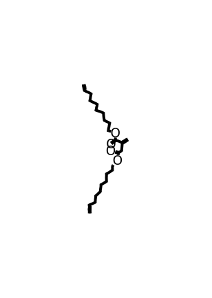 C=CCCCCCCCCOC(=O)CC(=C)C(=O)OCCCCCCCCC=C